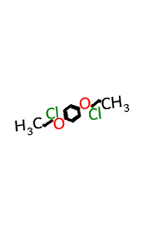 CCC(Cl)Oc1ccc(OC(Cl)CC)cc1